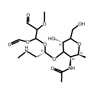 CNC[C@H](OC(OC=O)C(C=O)OC)OC1[C@H](O)C(CO)O[C@@H](C)[C@H]1NC(C)=O